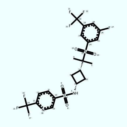 CC(C)([C@H]1C[C@@H](NS(=O)(=O)c2ccc(C(F)(F)F)nc2)C1)S(=O)(=O)c1cc(F)cc(C(F)(F)F)c1